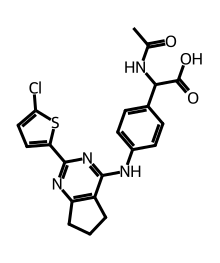 CC(=O)NC(C(=O)O)c1ccc(Nc2nc(-c3ccc(Cl)s3)nc3c2CCC3)cc1